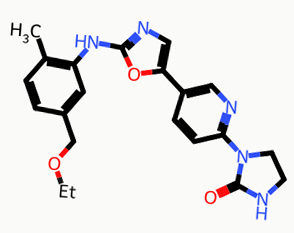 CCOCc1ccc(C)c(Nc2ncc(-c3ccc(N4CCNC4=O)nc3)o2)c1